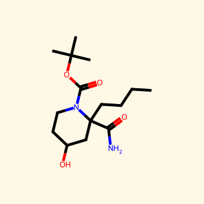 CCCCC1(C(N)=O)CC(O)CCN1C(=O)OC(C)(C)C